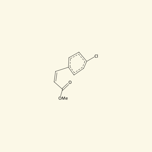 COC(=O)/C=C\c1ccc(Cl)cc1